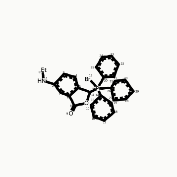 CCNc1ccc2c(c1)C(=O)OC2P(Br)(c1ccccc1)(c1ccccc1)c1ccccc1